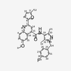 COc1ccc2nc(-c3ccc(C)o3)cc(C(=O)Nc3c(C)nn(Cc4ccc(F)cc4)c3C)c2c1